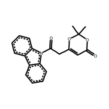 CC1(C)OC(=O)C=C(CC(=O)n2c3ccccc3c3ccccc32)O1